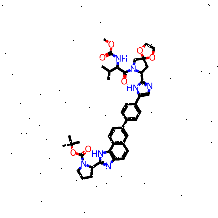 COC(=O)NC(C(=O)N1CC2(CC1c1ncc(-c3ccc(-c4ccc5c(ccc6nc(C7CCCN7C(=O)OC(C)(C)C)[nH]c65)c4)cc3)[nH]1)OCCO2)C(C)C